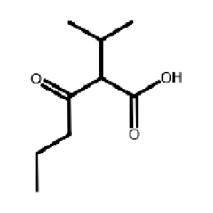 CCCC(=O)C(C(=O)O)C(C)C